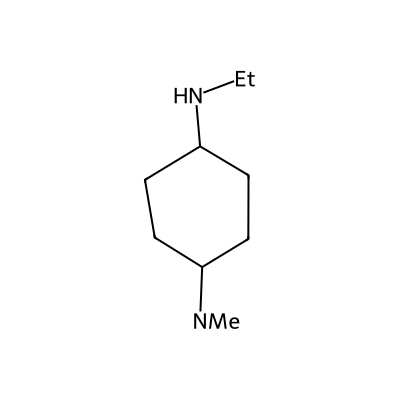 CCNC1CCC(NC)CC1